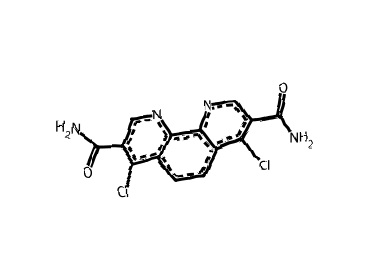 NC(=O)c1cnc2c(ccc3c(Cl)c(C(N)=O)cnc32)c1Cl